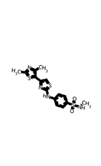 CNS(=O)(=O)c1ccc(Nc2nc(-c3sc(C)nc3C)cs2)cc1